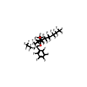 Fc1c(F)c(F)c([Si](OC(F)(F)C(F)(F)F)(OC(F)(F)C(F)(F)F)C(F)(F)C(F)(F)C(F)(F)C(F)(F)C(F)(F)C(F)(F)C(F)(F)C(F)(F)F)c(F)c1F